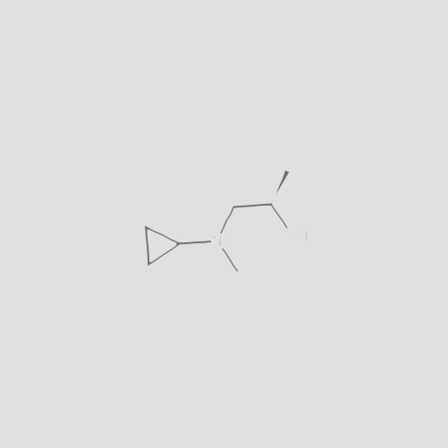 C[C@@H](O)CN(C)C1CC1